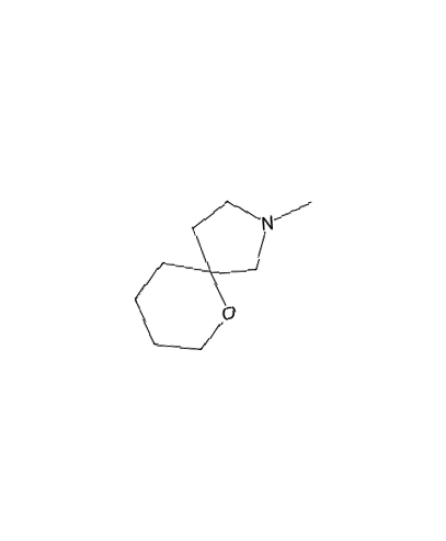 CN1CCC2(CCCCO2)C1